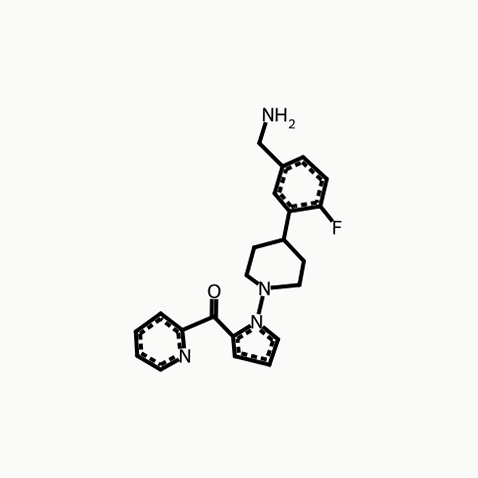 NCc1ccc(F)c(C2CCN(n3cccc3C(=O)c3ccccn3)CC2)c1